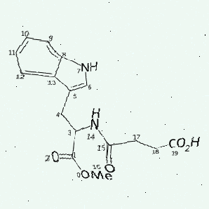 COC(=O)C(Cc1c[nH]c2ccccc12)NC(=O)CCC(=O)O